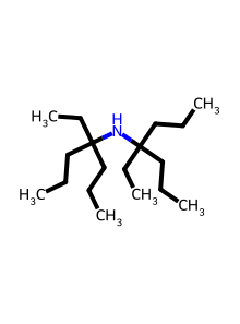 CCCC(CC)(CCC)NC(CC)(CCC)CCC